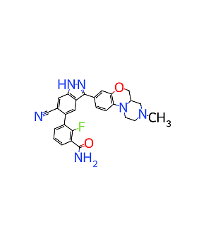 CN1CCN2c3ccc(-c4n[nH]c5cc(C#N)c(-c6cccc(C(N)=O)c6F)cc45)cc3OCC2C1